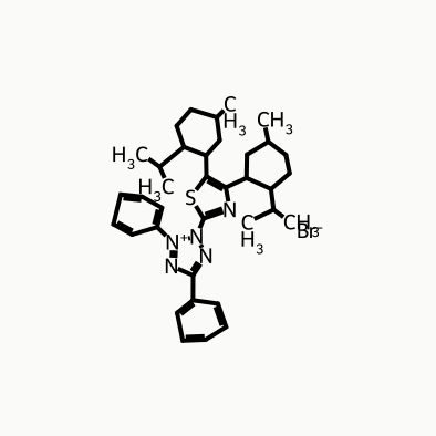 CC1CCC(C(C)C)C(c2nc(-n3nc(-c4ccccc4)n[n+]3-c3ccccc3)sc2C2CC(C)CCC2C(C)C)C1.[Br-]